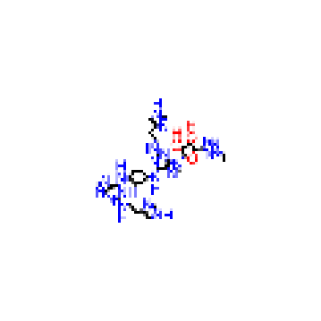 CCn1nnc([C@H]2O[C@@H](n3cnc4c(NC5CCC(Nc6[nH]c(NCCc7c[nH]cn7)nc7ncnc6-7)CC5)nc(NCCc5c[nH]cn5)nc43)[C@H](O)[C@@H]2O)n1